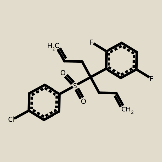 C=CCC(CC=C)(c1cc(F)ccc1F)S(=O)(=O)c1ccc(Cl)cc1